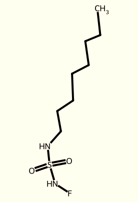 CCCCCCCCNS(=O)(=O)NF